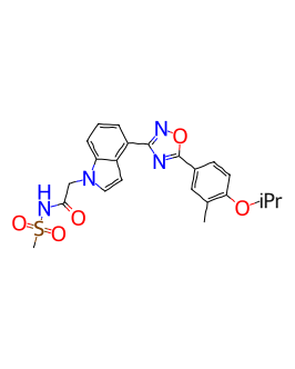 Cc1cc(-c2nc(-c3cccc4c3ccn4CC(=O)NS(C)(=O)=O)no2)ccc1OC(C)C